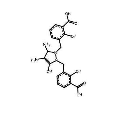 NC1=C(O)N(Cc2cccc(C(=O)O)c2O)N(Cc2cccc(C(=O)O)c2O)C1N